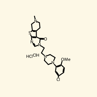 COc1ccc(Cl)cc1N1CCN(CCn2cnc3sc4c(c3c2=O)CCN(C)C4)CC1.Cl.Cl